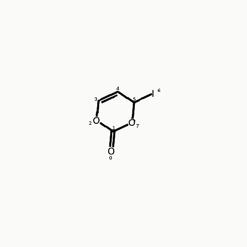 O=C1OC=CC(I)O1